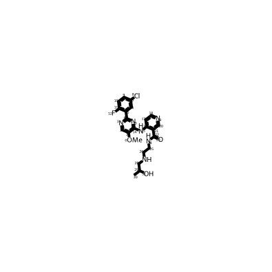 COc1cnc(-c2cc(Cl)ccc2F)nc1Nc1ccncc1C(=O)NCCNCC(C)O